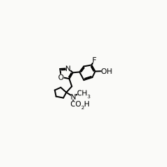 CN(C(=O)O)C1(Cc2ocnc2-c2ccc(O)c(F)c2)CCCC1